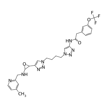 Cc1ccnc(CNC2OC2c2cn(CCCCn3cc(NC(=O)Cc4cccc(OC(F)(F)F)c4)nn3)nn2)c1